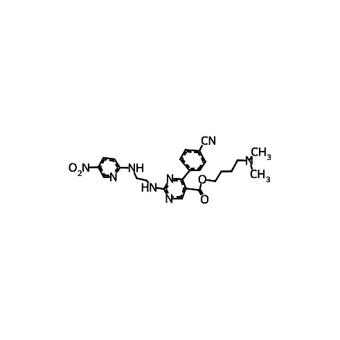 CN(C)CCCCOC(=O)c1cnc(NCCNc2ccc([N+](=O)[O-])cn2)nc1-c1ccc(C#N)cc1